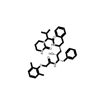 Cc1cccc(C)c1OCC(=O)N[C@@H](Cc1ccccc1)[C@H](O)C[C@H](Cc1ccccc1)NC(=O)C(C(C)C)N1CCCNC1=O